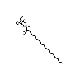 CCCCCCCCCCCCCCCC(=O)NOS(=O)(=O)CC